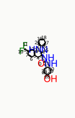 O=C(NC(Cc1ccc(C(F)F)cc1)c1nc2ccccc2[nH]1)N[C@H]1CC[C@H](O)CC1